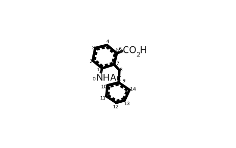 CC(=O)Nc1cccc(C(=O)O)c1Cc1ccccc1